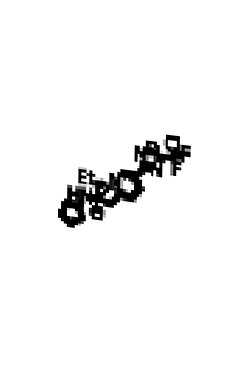 CCOP(=O)(Cc1ccc(-c2noc(C(F)(F)Cl)n2)cn1)NC1CCCC1